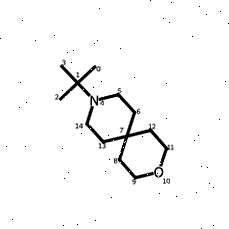 CC(C)(C)N1CCC2(CCOCC2)CC1